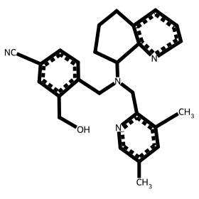 Cc1cnc(CN(Cc2ccc(C#N)cc2CO)C2CCCc3cccnc32)c(C)c1